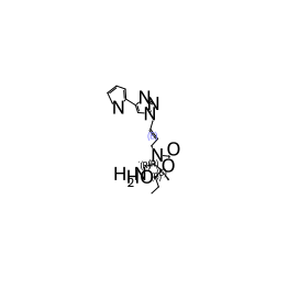 CC[C@@H](O)[C@@]1(C)OC(=O)N(C/C=C/Cn2cc(-c3ccccn3)nn2)[C@@H]1[C@@H](C)N